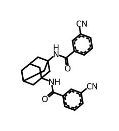 N#Cc1cccc(C(=O)NC23CC4CC(C2)CC(NC(=O)c2cccc(C#N)c2)(C4)C3)c1